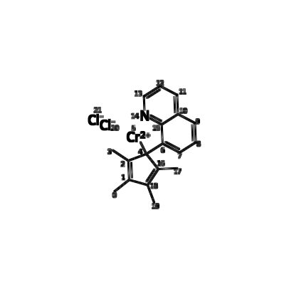 CC1=C(C)[C]([Cr+2])(c2cccc3cccnc23)C(C)=C1C.[Cl-].[Cl-]